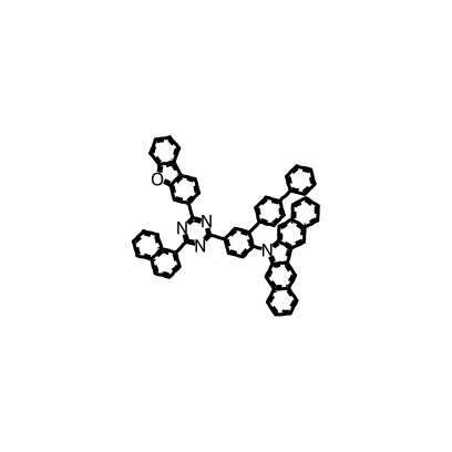 c1ccc(-c2ccc(-c3cc(-c4nc(-c5ccc6c(c5)oc5ccccc56)nc(-c5cccc6ccccc56)n4)ccc3-n3c4cc5ccccc5cc4c4cc5ccccc5cc43)cc2)cc1